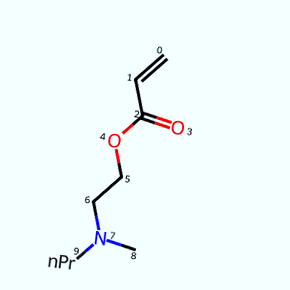 C=CC(=O)OCCN(C)CCC